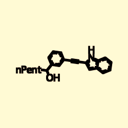 CCCCCC(O)c1cccc(C#Cc2cc3ccccc3[nH]2)c1